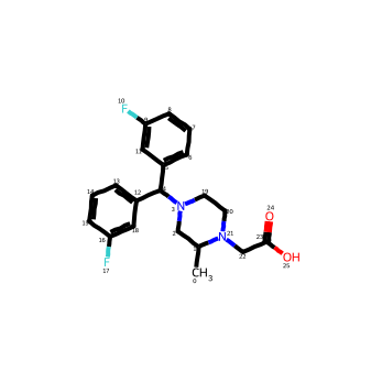 CC1CN(C(c2cccc(F)c2)c2cccc(F)c2)CCN1CC(=O)O